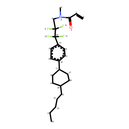 C=CC(=O)N(C)CC(F)(F)C(F)(F)c1ccc(C2CCC(CCCCC)CC2)cc1